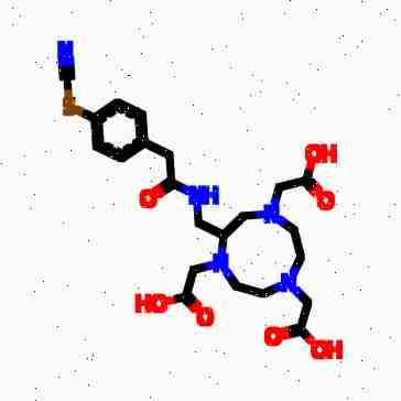 N#CSc1ccc(CC(=O)NCC2CN(CC(=O)O)CCN(CC(=O)O)CCN2CC(=O)O)cc1